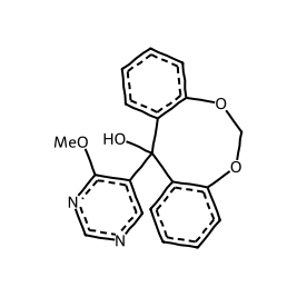 COc1ncncc1C1(O)c2ccccc2OCOc2ccccc21